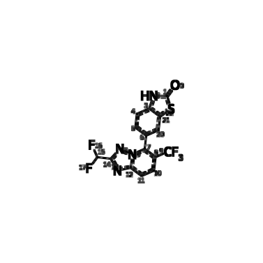 O=c1[nH]c2ccc(-c3c(C(F)(F)F)ccc4nc(C(F)F)nn34)cc2s1